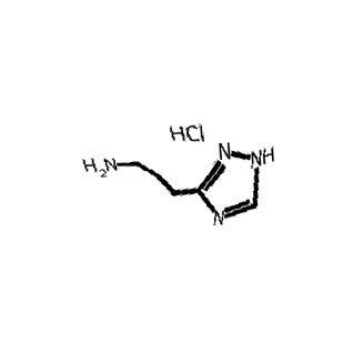 Cl.NCCc1nc[nH]n1